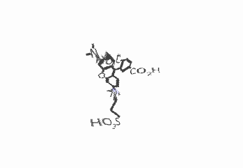 CN(C)c1ccc2c(-c3cc(C(=O)O)ccc3C(=O)O)c3cc/c(=[N+](/C)CCCS(=O)(=O)O)cc-3oc2c1